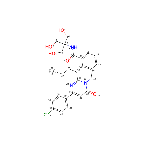 O=C(NC(CO)(CO)CO)c1cccc(Cn2c(CCCC(F)(F)F)nc(-c3ccc(Cl)cc3)cc2=O)c1